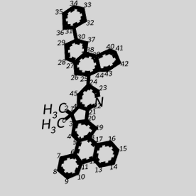 CC1(C)c2cc3c4ccccc4c4ccccc4c3cc2-c2ncc(-c3cc4ccc(-c5ccccc5)cc4c4ccccc34)cc21